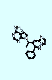 CC(c1cc2nccn2nc1-c1ccccc1)n1ccc2c(N)ncnc21